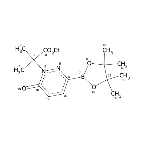 CCOC(=O)C(C)(C)n1nc(B2OC(C)(C)C(C)(C)O2)ccc1=O